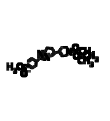 C[S+]([O-])c1ccc(-c2cn3cc(C4=CCN(C(=O)OC(C)(C)C)CC4)ccc3n2)cc1